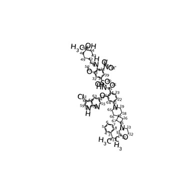 CC(C)c1ccccc1[C@H]1COCCN1C1CC2(CCN(c3ccc(C(=O)NS(=O)(=O)c4cc5c(c([N+](=O)[O-])c4)N[C@@H]([C@H]4CC[C@](C)(O)CC4)CO5)c(Oc4cnc5[nH]cc(Cl)c5c4)c3)CC2)C1